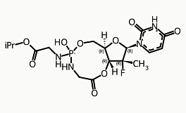 CC(C)OC(=O)CN[P]1(O)NCC(=O)O[C@@H]2[C@@H](CO1)O[C@@H](n1ccc(=O)[nH]c1=O)[C@]2(C)F